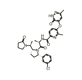 Cc1cc(Oc2ccc(C(=O)N[C@H](C)C(=O)N3[C@@H]([C@H](C)N4CCCC4=O)CC[C@H]3c3cccc(Cl)c3)nc2C)c(=O)[nH]n1